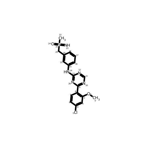 COc1cc(Cl)ccc1-c1ncnc(Nc2cccc(CS(C)(=N)=O)c2)n1